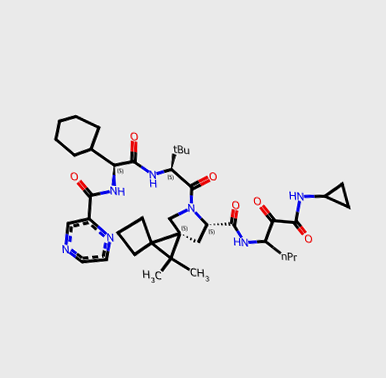 CCCC(NC(=O)[C@@H]1C[C@]2(CN1C(=O)[C@@H](NC(=O)[C@@H](NC(=O)c1cnccn1)C1CCCCC1)C(C)(C)C)C(C)(C)C21CCC1)C(=O)C(=O)NC1CC1